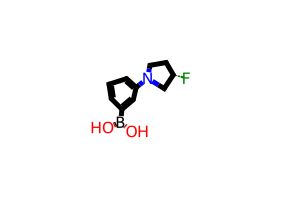 OB(O)c1cccc(N2CC[C@H](F)C2)c1